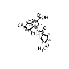 COc1ccc(C(=O)N[C@H]2C[C@H](C(=O)O)Nc3cc(Cl)cc(Cl)c32)cc1